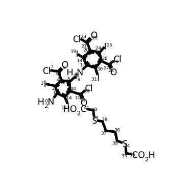 Nc1c(I)c(C(=O)Cl)c(I)c(C(=O)Cl)c1I.Nc1c(I)c(C(=O)Cl)c(I)c(C(=O)Cl)c1I.O=C(O)CSCCCCSCC(=O)O